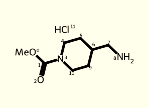 COC(=O)N1CCC(CN)CC1.Cl